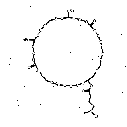 CCCCC1CCCCCCC(CCCC)CCOC(=O)CCCCCCCCCC(OC(=O)CCCN(C)CC)CCCCCCCCCC(=O)OCC1